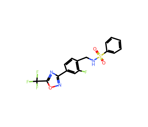 O=S(=O)(NCc1ccc(-c2noc(C(F)(F)F)n2)cc1F)c1ccccc1